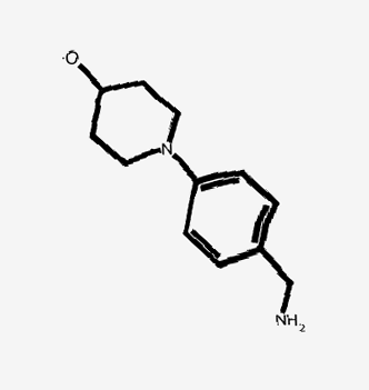 NCc1ccc(N2CCC([O])CC2)cc1